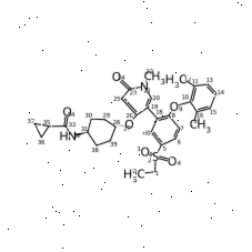 CCS(=O)(=O)c1ccc(Oc2c(C)cccc2C)c(-c2cn(C)c(=O)cc2O[C@H]2CC[C@H](NC(=O)C3CC3)CC2)c1